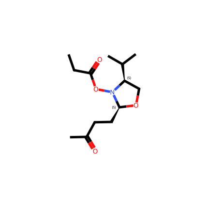 CCC(=O)ON1[C@H](CCC(C)=O)OC[C@@H]1C(C)C